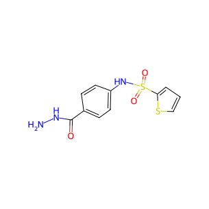 NNC(=O)c1ccc(NS(=O)(=O)c2cccs2)cc1